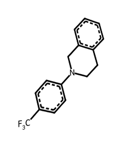 FC(F)(F)c1ccc(N2CCc3ccccc3C2)cc1